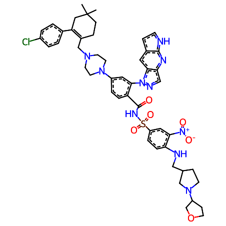 CC1(C)CCC(CN2CCN(c3ccc(C(=O)NS(=O)(=O)c4ccc(NCC5CCN(C6CCOC6)C5)c([N+](=O)[O-])c4)c(-n4ncc5nc6[nH]ccc6cc54)c3)CC2)=C(c2ccc(Cl)cc2)C1